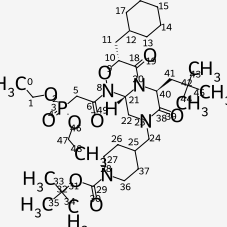 CCOP(=O)(CC(=O)N1O[C@H](CC2CCCCC2)C(=O)N2[C@@H]1CN(CC1CCN(C(=O)OC(C)(C)C)CC1)C(=O)[C@@H]2CC(C)(C)C)OCC